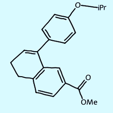 COC(=O)c1ccc2c(c1)C(c1ccc(OC(C)C)cc1)=CCC2